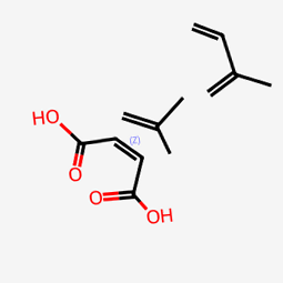 C=C(C)C.C=CC(=C)C.O=C(O)/C=C\C(=O)O